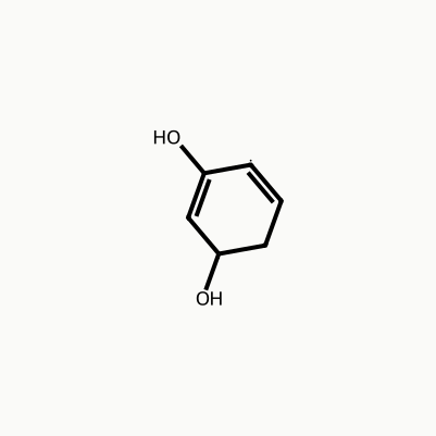 O[C]1C=C(O)[C]=CC1